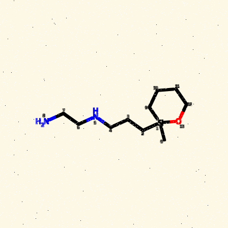 C[Si]1(CCCNCCN)CCCCO1